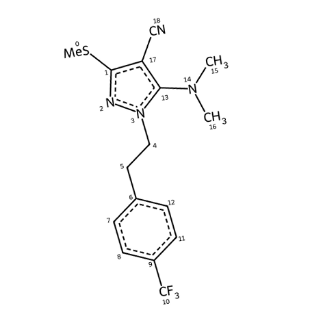 CSc1nn(CCc2ccc(C(F)(F)F)cc2)c(N(C)C)c1C#N